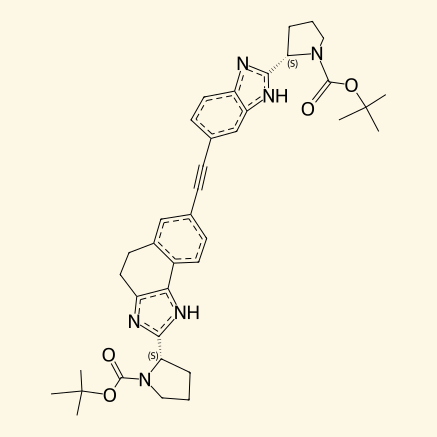 CC(C)(C)OC(=O)N1CCC[C@H]1c1nc2c([nH]1)-c1ccc(C#Cc3ccc4nc([C@@H]5CCCN5C(=O)OC(C)(C)C)[nH]c4c3)cc1CC2